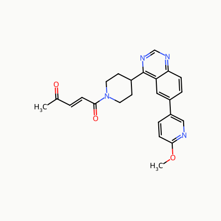 COc1ccc(-c2ccc3ncnc(C4CCN(C(=O)C=CC(C)=O)CC4)c3c2)cn1